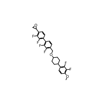 COc1ccc(C2CCC(OCc3ccc(-c4ccc(C5CO5)c(F)c4F)c(F)c3F)CC2)c(F)c1F